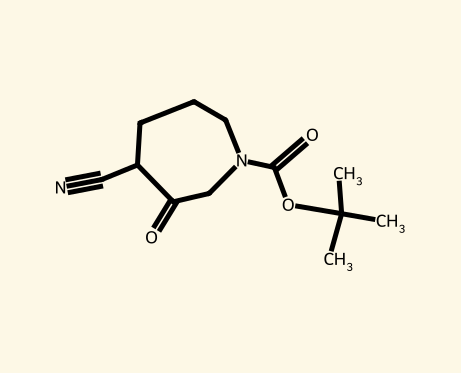 CC(C)(C)OC(=O)N1CCCC(C#N)C(=O)C1